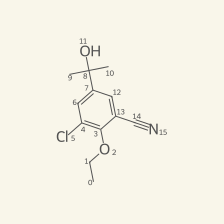 CCOc1c(Cl)cc(C(C)(C)O)cc1C#N